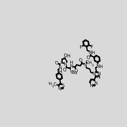 Cc1ncsc1-c1ccc(CNC(=O)[C@@H]2C[C@@H](O)CN2C(=O)[C@@H](NC(=O)CCC(=O)N(C)CCCn2c(CNc3cccc(C(=O)NCc4c(F)cccc4F)c3)nnc2-c2ccncn2)C(C)(C)C)cc1